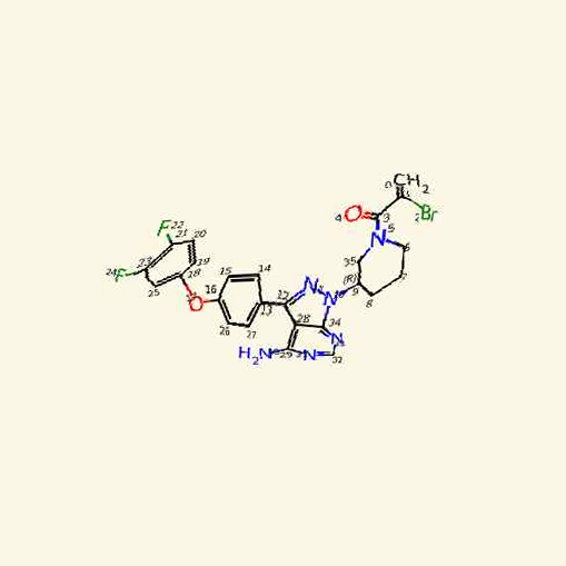 C=C(Br)C(=O)N1CCC[C@@H](n2nc(-c3ccc(Oc4ccc(F)c(F)c4)cc3)c3c(N)ncnc32)C1